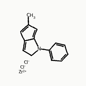 CC1=CC2=CCN(c3ccccc3)C2=C1.[Cl-].[Cl-].[Zr+2]